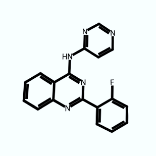 Fc1ccccc1-c1nc(Nc2ccncn2)c2ccccc2n1